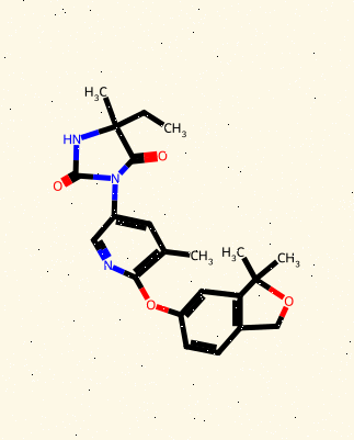 CCC1(C)NC(=O)N(c2cnc(Oc3ccc4c(c3)C(C)(C)OC4)c(C)c2)C1=O